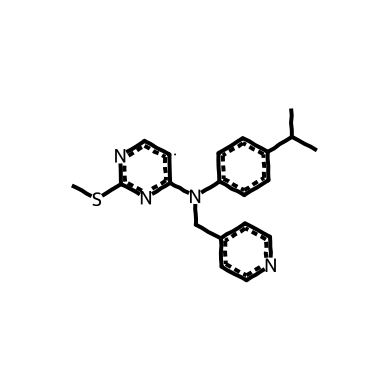 CSc1nc[c]c(N(Cc2ccncc2)c2ccc(C(C)C)cc2)n1